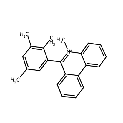 Cc1cc(C)c(C)c(-c2c3ccccc3c3ccccc3[n+]2C)c1